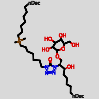 CCCCCCCCCCCCCCCCCS(C)(C)CCCCCCCn1nnn([C@@H](COC2OC(CO)C(O)C(O)C2O)[C@H](O)CCCCCCCCCCCCCCC)c1=O